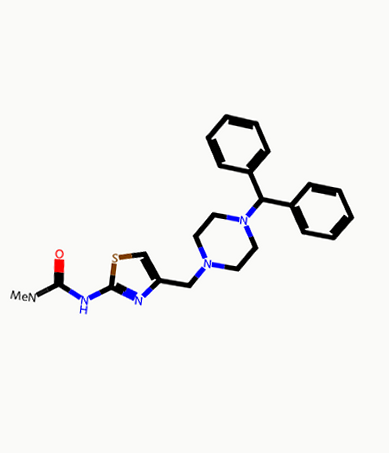 CNC(=O)Nc1nc(CN2CCN(C(c3ccccc3)c3ccccc3)CC2)cs1